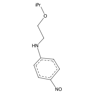 CC(C)OCCNc1ccc(N=O)cc1